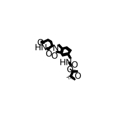 C[C@H]1COC[C@@H]1OC(=O)NCc1ccc2c(c1)C(=O)N(C1CCC(=O)NC1=O)C2